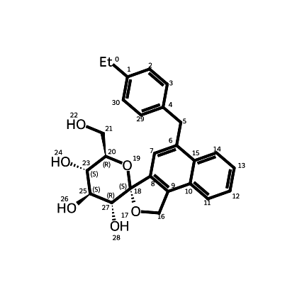 CCc1ccc(Cc2cc3c(c4ccccc24)CO[C@]32O[C@H](CO)[C@@H](O)[C@H](O)[C@H]2O)cc1